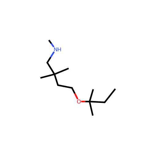 CCC(C)(C)OCCC(C)(C)CNC